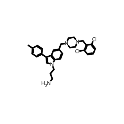 Cc1ccc(-c2cn(CCCN)c3ccc(CN4CCN(Cc5c(Cl)cccc5Cl)CC4)cc23)cc1